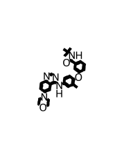 Cc1cc(Nc2ncnc3ccc(N4CCOCC4)cc23)ccc1Oc1cccc(C(=O)NC(C)(C)C)c1